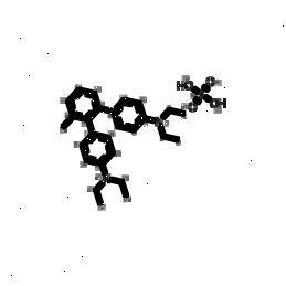 CCN(CC)c1ccc(-c2cccc(C)c2-c2ccc(N(CC)CC)cc2)cc1.O=S(=O)(O)O